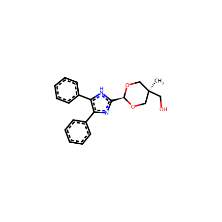 C[C@]1(CO)CO[C@@H](c2nc(-c3ccccc3)c(-c3ccccc3)[nH]2)OC1